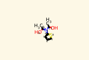 CC(O)N(c1cccs1)C(C)O